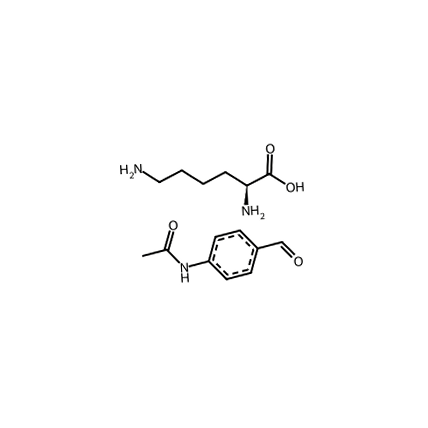 CC(=O)Nc1ccc(C=O)cc1.NCCCC[C@H](N)C(=O)O